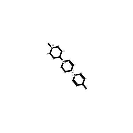 CC1C=CN([C@H]2C=CN(C3CCN(C)CC3)CC2)C=C1